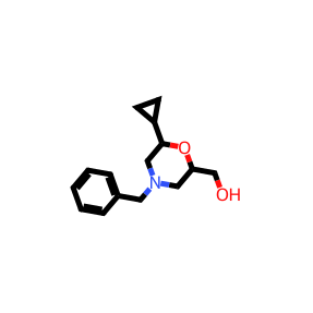 OCC1CN(Cc2ccccc2)CC(C2CC2)O1